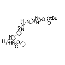 Cc1ncc(-c2ccc3nc(NCCN4CCN(c5ncc(OCC(=O)OC(C)(C)C)cn5)CC4)sc3c2)cc1NC(=O)OC1CCCCC1